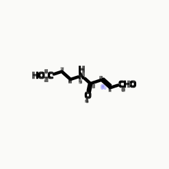 O=C/C=C/C(=O)NCCC(=O)O